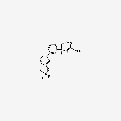 C[C@@]1(c2cccc(-c3cccc(OC(F)(F)F)c3)c2)CCSC(N)=N1